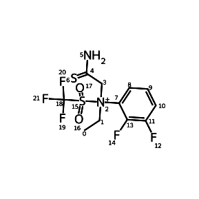 CC[N+](CC(N)=S)(c1cccc(F)c1F)S(=O)(=O)C(F)(F)F